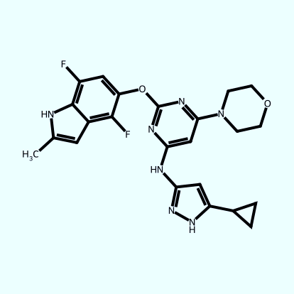 Cc1cc2c(F)c(Oc3nc(Nc4cc(C5CC5)[nH]n4)cc(N4CCOCC4)n3)cc(F)c2[nH]1